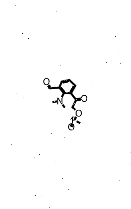 CN(C)c1c(C=O)cccc1C(=O)COP(C)(C)=O